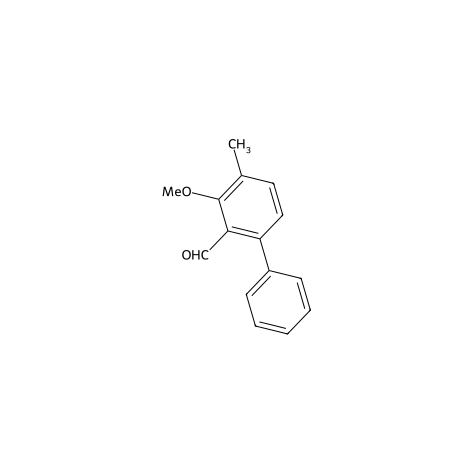 COc1c(C)ccc(-c2ccccc2)c1C=O